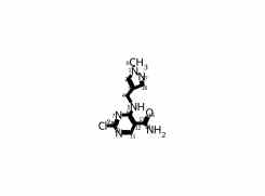 Cn1cc(CNc2nc(Cl)ncc2C(N)=O)cn1